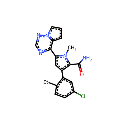 CCc1ccc(Cl)cc1-c1cc(-c2ncnn3cccc23)n(C)c1C(N)=O